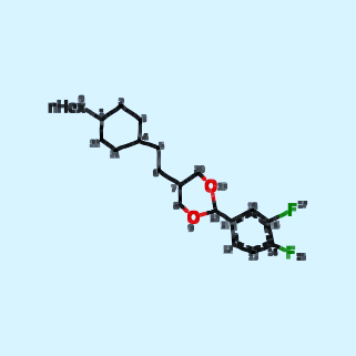 CCCCCCC1CCC(CCC2COC(c3ccc(F)c(F)c3)OC2)CC1